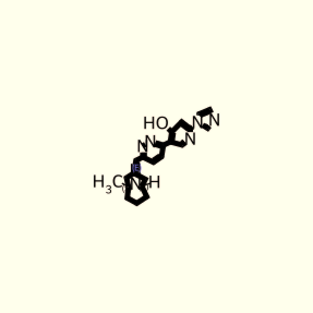 C[C@]12CCC[C@H](C/C(=C\c3ccc(-c4cnc(-n5ccnc5)cc4O)nn3)C1)N2